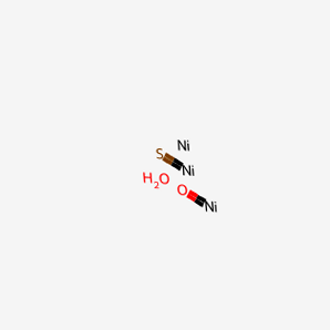 O.[Ni].[O]=[Ni].[S]=[Ni]